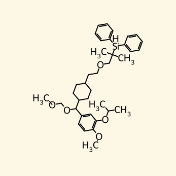 COCOC(c1ccc(OC)c(OC(C)C)c1)C1CCC(CCOCC(C)(C)[SiH](c2ccccc2)c2ccccc2)CC1